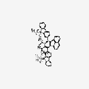 Cc1nccc2c(-c3ccc4c(c3)C(C)(C)c3ccccc3-4)c3c(c(-c4ccc5c(c4)C(C)(C)c4ccccc4-5)c12)-c1cccc2cccc-3c12